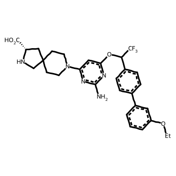 CCOc1cccc(-c2ccc(C(Oc3cc(N4CCC5(CC4)CN[C@H](C(=O)O)C5)nc(N)n3)C(F)(F)F)cc2)c1